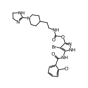 O=C(NCCC1CCN(C2=NCCN2)CC1)Oc1n[nH]c(NC(=O)c2ccccc2Cl)c1Br